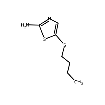 CCCCSc1cnc(N)s1